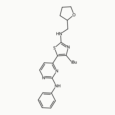 CCC(C)c1nc(NCC2CCCO2)sc1-c1ccnc(Nc2ccccc2)n1